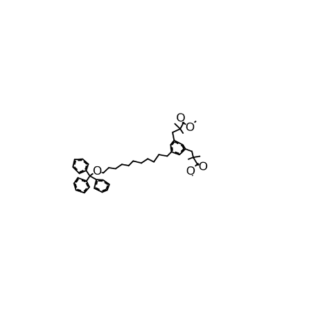 COC(=O)C(C)(C)Cc1cc(CCCCCCCCCCCOC(c2ccccc2)(c2ccccc2)c2ccccc2)cc(CC(C)(C)C(=O)OC)c1